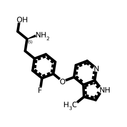 Cc1c[nH]c2nccc(Oc3ccc(C[C@H](N)CO)cc3F)c12